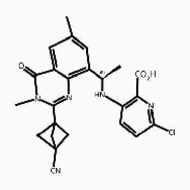 Cc1cc([C@@H](C)Nc2ccc(Cl)nc2C(=O)O)c2nc(C34CC(C#N)(C3)C4)n(C)c(=O)c2c1